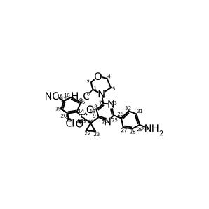 C[C@H]1COCCN1c1cc(C2(S(=O)(=O)c3ccc(C#N)cc3Cl)CC2)nc(-c2ccc(N)cc2)n1